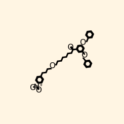 O=C(CCCCCCCOCCCCc1ccc([N+](=O)[O-])cc1)c1cc(OCc2ccccc2)cc(OCc2ccccc2)c1